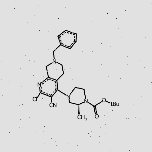 C[C@H]1CN(c2c(C#N)c(Cl)nc3c2CCN(Cc2ccccc2)C3)CCN1C(=O)OC(C)(C)C